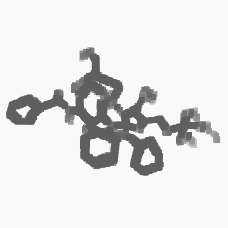 CC(C)(C)OC[C@H]1O[C@](n2cnc3c(NC(=O)c4ccccc4)ncnc32)([SiH](c2ccccc2)c2ccccc2)[C@H](OCC(O)CO)[C@@H]1O